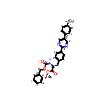 CC(C)(C)OC(=O)[C@H](Cc1ccc(-c2ncc(-c3ccc(C(C)(C)C)cc3)cn2)cc1)NC(O)OCc1ccccc1